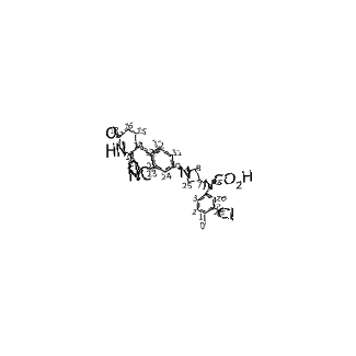 Cc1ccc(N(C(=O)O)C2CN(c3ccc(C4CCC(=O)NC4=O)c(C#N)c3)C2)cc1Cl